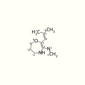 C=NC1=C(C=C(C)C)OCCCN1